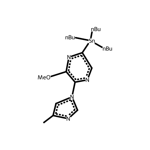 CCC[CH2][Sn]([CH2]CCC)([CH2]CCC)[c]1cnc(-n2cnc(C)c2)c(OC)n1